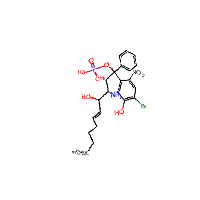 CCCCCCCCCCCCC/C=C/[C@@H](O)[C@@H](N)CC(OP(=O)(O)O)(c1ccccc1)c1cc(O)c(Br)cc1[N+](=O)[O-]